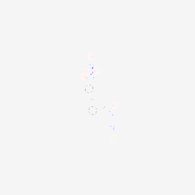 Cc1cc(C(=O)NS(=O)(=O)N2CCOCC2)ccc1/C(=C1/c2ccccc2/C=C(/C(=O)N2CCC(N3CCOCC3)CC2)CCC1C)C1CCCCC1